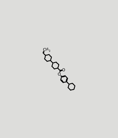 C=CC1CCC(C2CCC(C(=O)Oc3ccc(C4CCCCC4)cc3)CC2)CC1